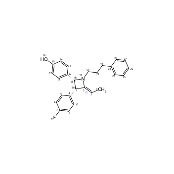 C/C=C1/[C@H](c2ccc(F)cc2)[C@H](c2ccc(O)cc2)N1CCCc1ccccc1